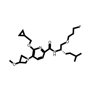 COC1CN(c2ccc(C(=O)N[C@@H](CCC(C)C)COCCCF)nc2OCC2CC2)C1